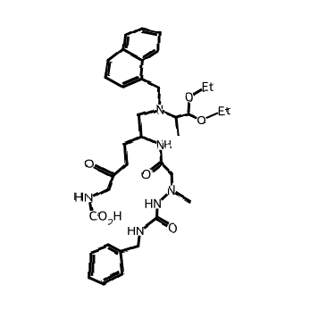 CCOC(OCC)C(C)N(Cc1cccc2ccccc12)CC(CCC(=O)CNC(=O)O)NC(=O)CN(C)NC(=O)NCc1ccccc1